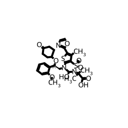 COc1ccccc1[C@H](CN1c2sc(-c3ncco3)c(C)c2S(=O)(=O)N(C(C)(C)C(=O)O)C1O)OC1CCC(=O)CC1